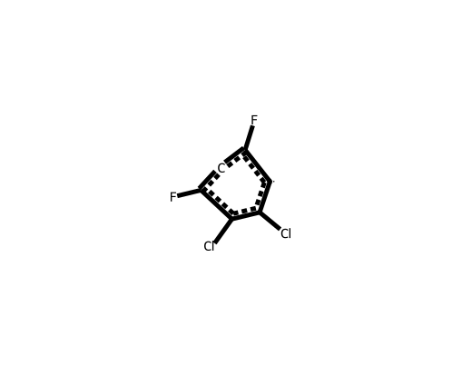 Fc1[c]c(Cl)c(Cl)c(F)c1